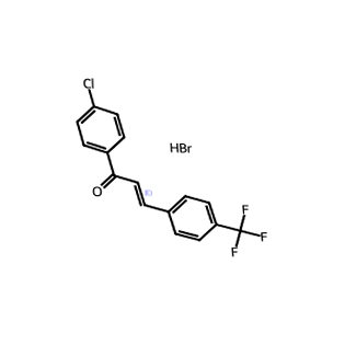 Br.O=C(/C=C/c1ccc(C(F)(F)F)cc1)c1ccc(Cl)cc1